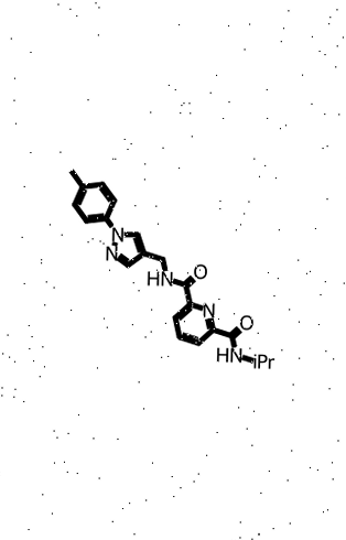 Cc1ccc(-n2cc(CNC(=O)c3cccc(C(=O)NC(C)C)n3)cn2)cc1